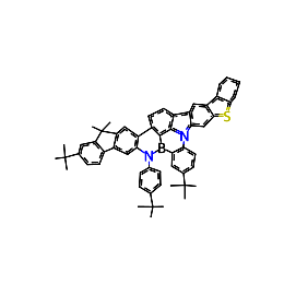 CC(C)(C)c1ccc(N2B3c4cc(C(C)(C)C)ccc4-n4c5cc6sc7ccccc7c6cc5c5ccc(c3c54)-c3cc4c(cc32)-c2ccc(C(C)(C)C)cc2C4(C)C)cc1